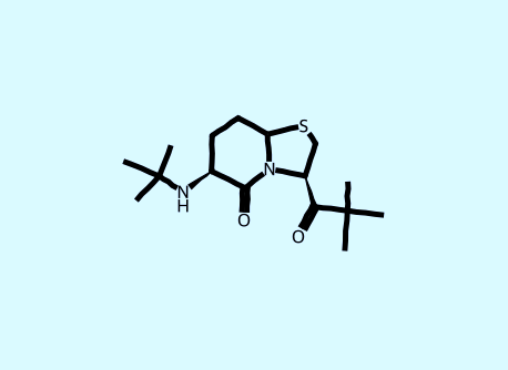 CC(C)(C)N[C@H]1CCC2SC[C@@H](C(=O)C(C)(C)C)N2C1=O